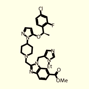 CCn1cncc1Cn1c(CN2CCC(n3nccc3O[C@H](C)c3ccc(Cl)cc3F)CC2)nc2ccc(C(=O)OC)cc21